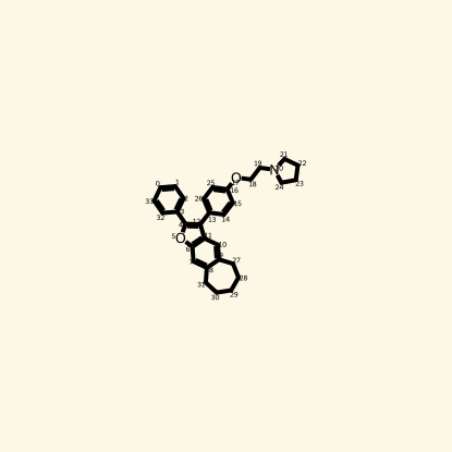 c1ccc(-c2oc3cc4c(cc3c2-c2ccc(OCCN3CCCC3)cc2)CCCCC4)cc1